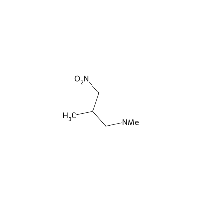 CNCC(C)C[N+](=O)[O-]